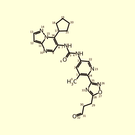 Cc1cc(NC(=O)Nc2cnc3ccnn3c2C2CCCC2)cnc1-c1noc(CCC=O)n1